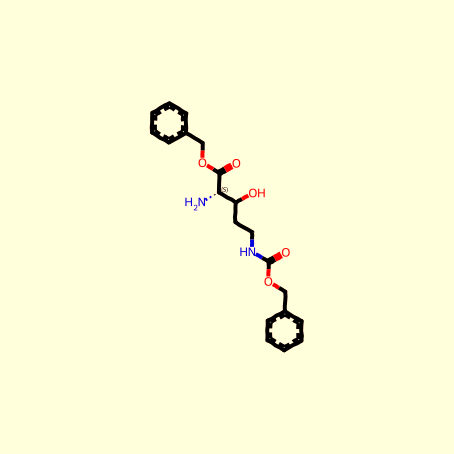 N[C@H](C(=O)OCc1ccccc1)C(O)CCNC(=O)OCc1ccccc1